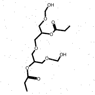 CCC(=O)OC(COCO)COCC(COCO)OC(=O)CC